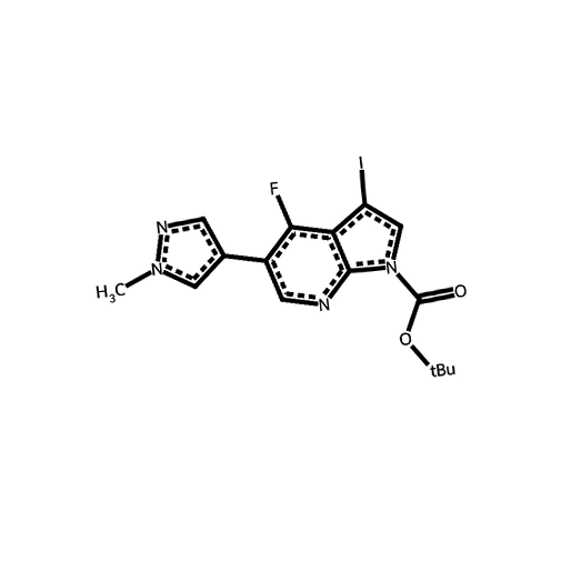 Cn1cc(-c2cnc3c(c(I)cn3C(=O)OC(C)(C)C)c2F)cn1